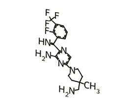 CC1(CN)CCN(c2cnc(C(=N)c3cccc(C(F)(F)F)c3F)c(N)n2)CC1